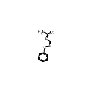 CC/C(N)=N\C=N/Oc1ccccc1